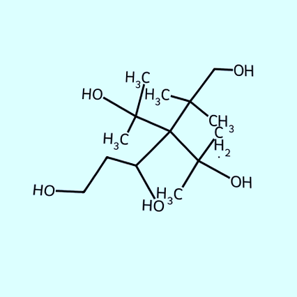 [CH2]C(C)(O)C(C(O)CCO)(C(C)(C)O)C(C)(C)CO